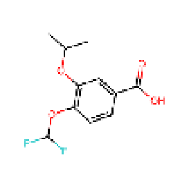 CC(C)Oc1cc(C(=O)O)ccc1OC(F)F